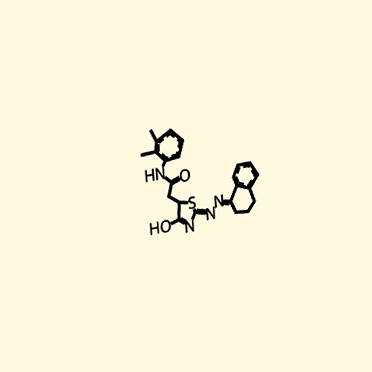 Cc1cccc(NC(=O)CC2S/C(=N\N=C3/CCCc4ccccc43)N=C2O)c1C